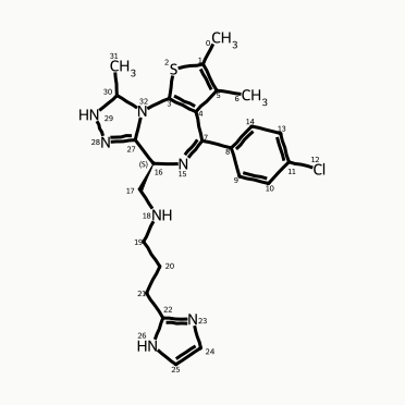 Cc1sc2c(c1C)C(c1ccc(Cl)cc1)=N[C@@H](CNCCCc1ncc[nH]1)C1=NNC(C)N12